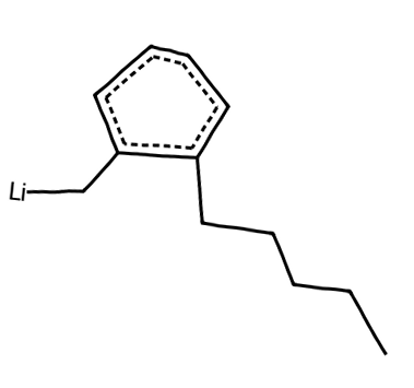 [Li][CH2]c1ccccc1CCCCC